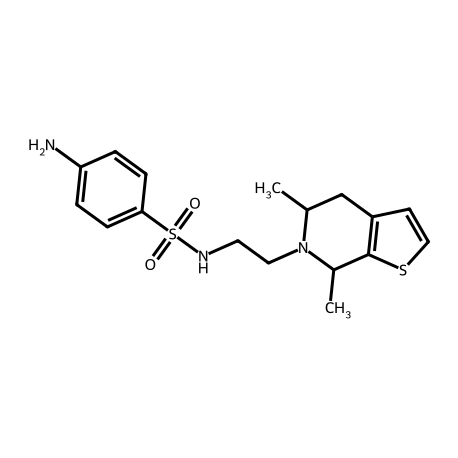 CC1Cc2ccsc2C(C)N1CCNS(=O)(=O)c1ccc(N)cc1